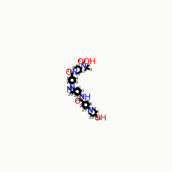 CC(C)(C)N(C(=O)O)C1CCN(C(=O)c2ccc(-n3ncc4cc(NC(=O)c5ccc(N6CCC(O)CC6)cc5)ccc43)cc2)CC1